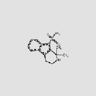 CC1(C)NCCc2c1n(S(N)(=O)=O)c1ccccc21